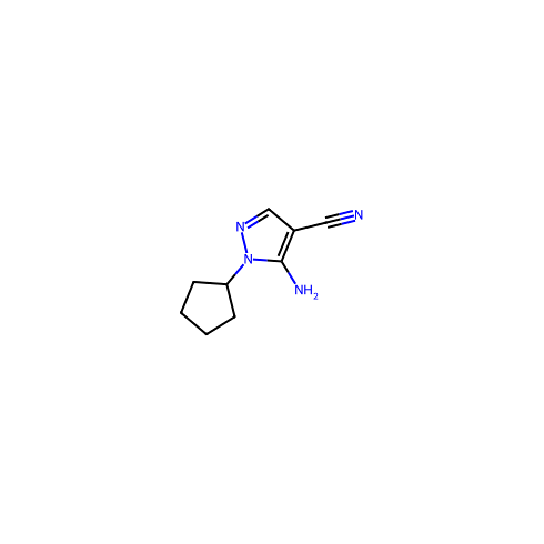 N#Cc1cnn(C2CCCC2)c1N